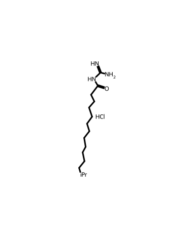 CC(C)CCCCCCCCCCCC(=O)NC(=N)N.Cl